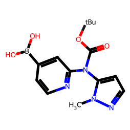 Cn1nccc1N(C(=O)OC(C)(C)C)c1cc(B(O)O)ccn1